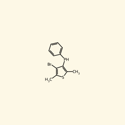 Cc1sc(C)c(Pc2ccccc2)c1Br